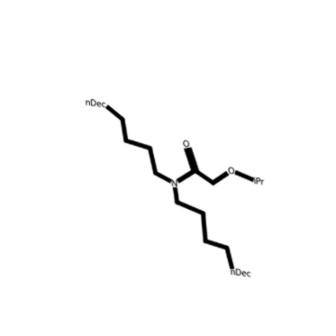 CCCCCCCCCCCCCCN(CCCCCCCCCCCCCC)C(=O)COC(C)C